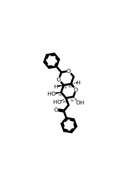 O=C(C[C@]1(O)[C@@H](O)O[C@@H]2COC(c3ccccc3)O[C@H]2[C@@H]1O)c1ccccc1